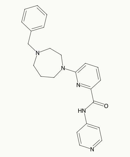 O=C(Nc1ccncc1)c1cccc(N2CCCN(Cc3ccccc3)CC2)n1